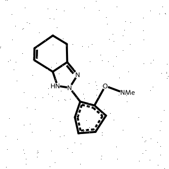 CNOc1ccccc1N1N=C2CCC=CC2N1